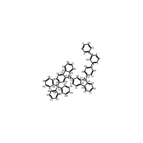 c1ccc(-c2cccc(-c3ccc(-n4c5ccccc5c5ccc(-n6c7ccccc7c7ccc([Si](c8ccccc8)(c8ccccc8)c8ccccc8)cc76)cc54)cc3)c2)cc1